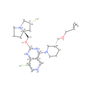 C=CCOC[C@@H]1CCCN(c2nc(OC[C@@]34CCCN3C[C@H](F)C4)nc3c(F)cncc23)C1